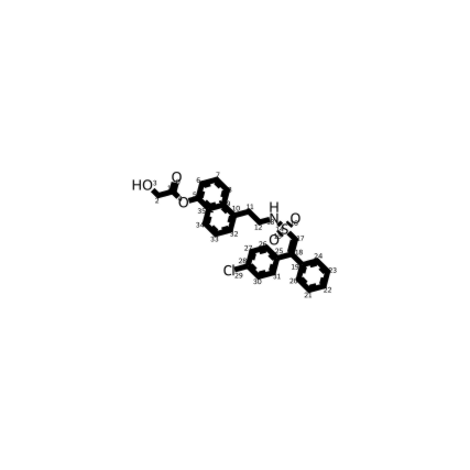 O=C(CO)Oc1cccc2c(CCNS(=O)(=O)C=C(c3ccccc3)c3ccc(Cl)cc3)cccc12